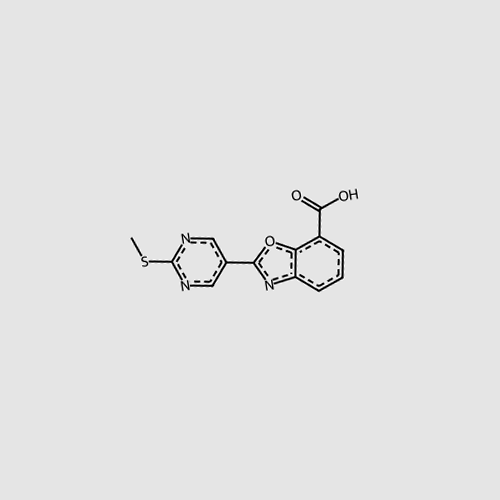 CSc1ncc(-c2nc3cccc(C(=O)O)c3o2)cn1